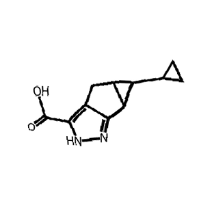 O=C(O)c1[nH]nc2c1CC1C2C1C1CC1